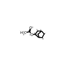 CC(=O)OC1CC2CCC1C2